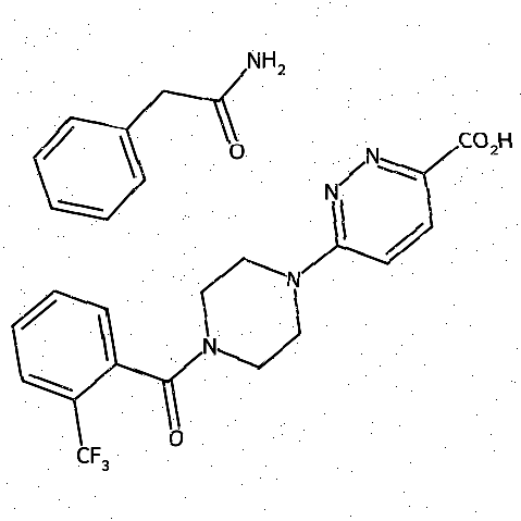 NC(=O)Cc1ccccc1.O=C(O)c1ccc(N2CCN(C(=O)c3ccccc3C(F)(F)F)CC2)nn1